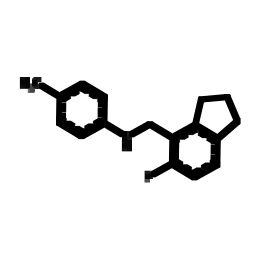 Cc1ccc(NCc2c(F)ccc3c2CCC3)cc1